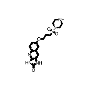 O=c1[nH]c2cc3cc(OCCCS(=O)(=O)N4CCNCC4)ccc3nc2[nH]1